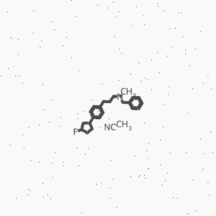 CC#N.CN(CCCc1ccc(C2CCC(F)C2)cc1)Cc1ccccc1